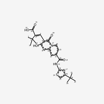 CC(C)(C)C(=Cc1c(O)nc2cc(C(=O)Nc3nc(C(C)(C)C)cs3)ccn2c1=O)C(=O)O